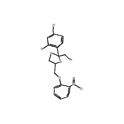 O=[N+]([O-])c1ccccc1OCC1COC(CBr)(c2ccc(Cl)cc2Cl)O1